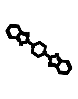 c1ccc2nn(N3CCN(n4nc5ccccc5n4)CC3)nc2c1